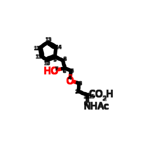 CC(=O)NC(CCOCC(O)Cc1ccccc1)C(=O)O